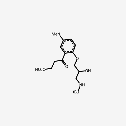 CNc1ccc(OCC(O)CNC(C)(C)C)c(C(=O)CCC(=O)O)c1